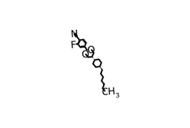 CCCCCCC[C@H]1CC[C@H](C2COC(c3ccc(C#N)c(F)c3)OC2)CC1